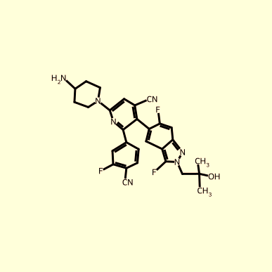 CC(C)(O)Cn1nc2cc(F)c(-c3c(C#N)cc(N4CCC(N)CC4)nc3-c3ccc(C#N)c(F)c3)cc2c1F